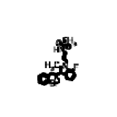 Cc1c(C(=O)Cc2ccccc2Br)c2cccc(F)c2n1CCCNS(C)(=O)=O